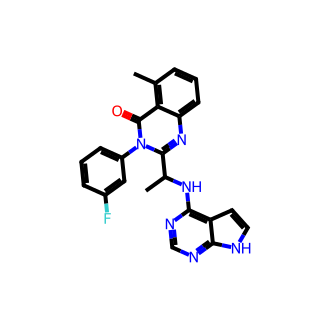 Cc1cccc2nc(C(C)Nc3ncnc4[nH]ccc34)n(-c3cccc(F)c3)c(=O)c12